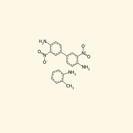 Cc1ccccc1N.Nc1ccc(-c2ccc(N)c([N+](=O)[O-])c2)cc1[N+](=O)[O-]